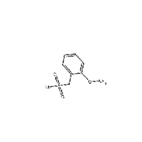 CCS(=O)(=O)Cc1ccccc1OC(F)(F)F